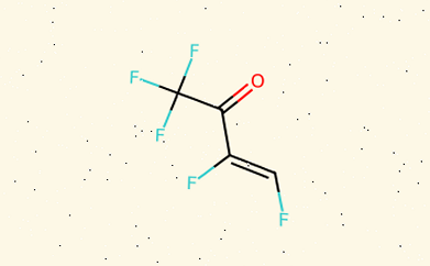 O=C(C(F)=CF)C(F)(F)F